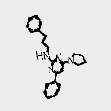 c1ccc(CCCNc2nc(-c3ccccc3)cc(N3CCCC3)n2)cc1